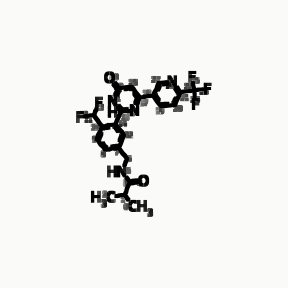 CC(C)C(=O)NCc1ccc(C(F)F)c(-c2nc(-c3ccc(C(F)(F)F)nc3)cc(=O)[nH]2)c1